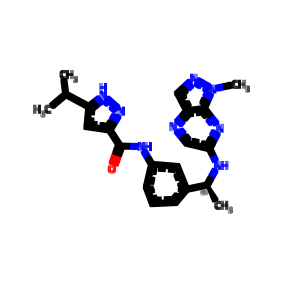 CC(C)c1cc(C(=O)Nc2cccc([C@H](C)Nc3cnc4cnn(C)c4n3)c2)n[nH]1